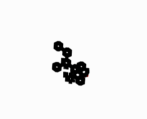 CC1(C)c2ccccc2C2(c3ccccc3Sc3ccccc32)c2ccc(-c3cc(-c4cccc(-c5ccccc5)c4)nc(-c4ccccc4)n3)cc21